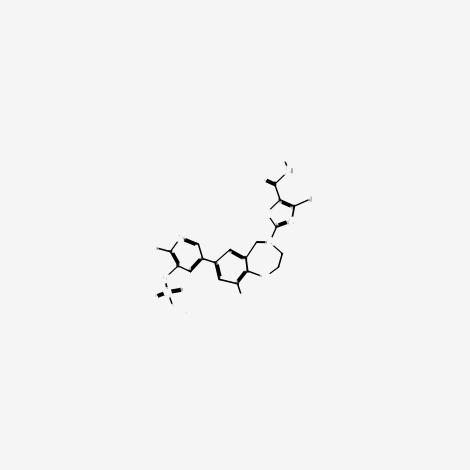 CCNC(=O)c1sc(N2CCOc3c(C)cc(-c4cnc(Cl)c(NS(C)(=O)=O)c4)cc3C2)nc1C(C)C